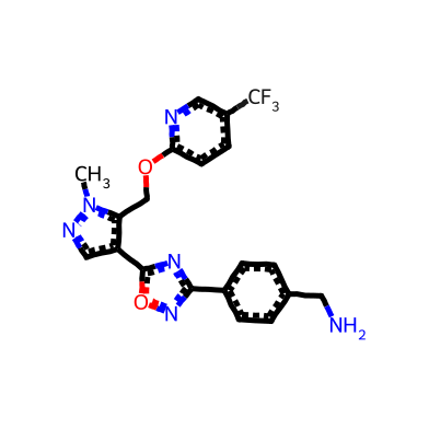 Cn1ncc(-c2nc(-c3ccc(CN)cc3)no2)c1COc1ccc(C(F)(F)F)cn1